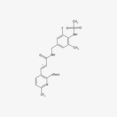 CCCCCc1nc(C(F)(F)F)ccc1/C=C/C(=O)NCc1cc(C)c(NS(C)(=O)=O)c(F)c1